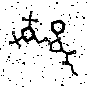 CCCNC(=O)N1CC[C@H](OCc2cc(C(F)(F)F)cc(C(F)(F)F)c2)[C@H](c2ccccc2)C1